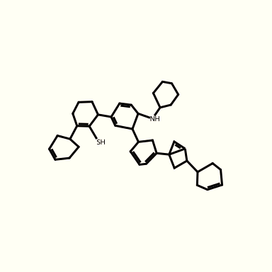 SC1=C(C2CC=CCC2)CCCC1C1=CC(C2C=CC=C(C34C=C3C(C3CC=CCC3)C4)C2)C(NC2CCCCC2)C=C1